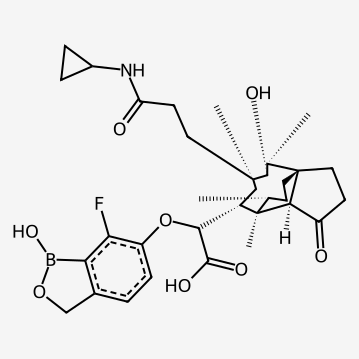 C[C@@H]1CC[C@@]23CCC(=O)[C@H]2[C@@]1(C)[C@H](C(Oc1ccc2c(c1F)B(O)OC2)C(=O)O)C[C@@](C)(CCC(=O)NC1CC1)[C@@H](O)[C@@H]3C